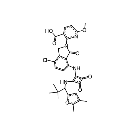 COc1ccc(C(=O)O)c(N2Cc3c(Cl)ccc(Nc4c(NC(c5cc(C)c(C)o5)C(C)(C)C)c(=O)c4=O)c3C2=O)n1